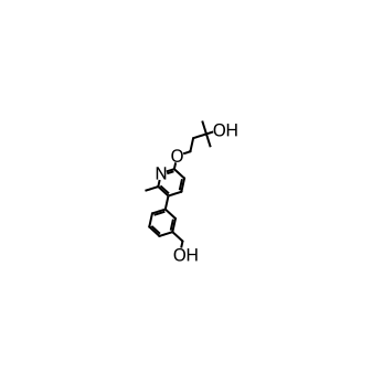 Cc1nc(OCCC(C)(C)O)ccc1-c1cccc(CO)c1